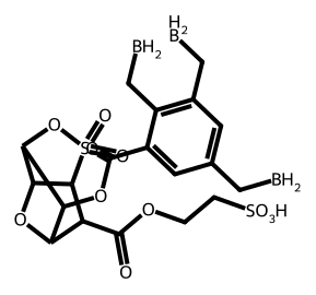 BCc1cc(CB)c(CB)c(C(=O)OC2C3OS(=O)(=O)C4C3OC2C4C(=O)OCCS(=O)(=O)O)c1